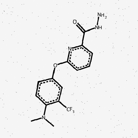 CN(C)c1ccc(Oc2cccc(C(=O)NN)n2)cc1C(F)(F)F